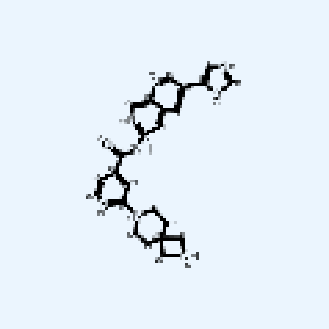 O=C(Nc1cc2cc(-c3cnco3)cnc2cn1)c1ccnc(N2CCC3(CC2)CNC3)c1